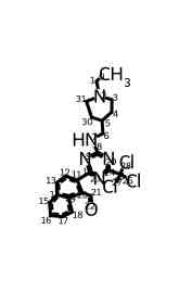 CCN1CCC(CNc2nc(-c3ccc4ccccc4c3C=O)nc(C(Cl)(Cl)Cl)n2)CC1